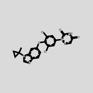 CC1(n2cnc3ccc(Oc4c(Cl)cc(-n5ncc(=O)[nH]c5=O)cc4Cl)cc32)CC1